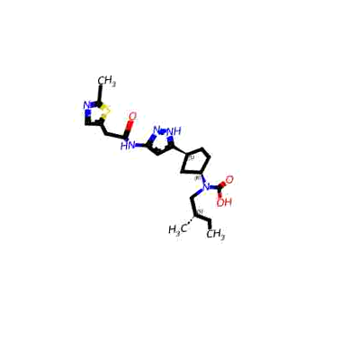 CC[C@H](C)CN(C(=O)O)[C@@H]1CC[C@H](c2cc(NC(=O)Cc3cnc(C)s3)n[nH]2)C1